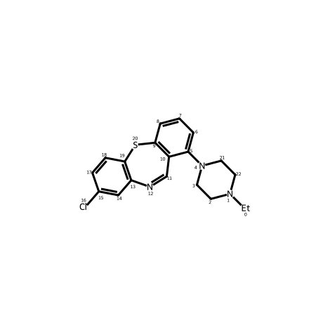 CCN1CCN(c2cccc3c2C=Nc2cc(Cl)ccc2S3)CC1